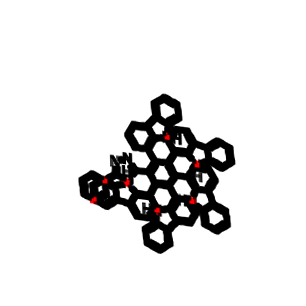 c1ccc(-c2nnc(-c3c(-c4cccc5c4[nH]c4ccccc45)c(-c4cccc5c4[nH]c4ccccc45)c(-c4cccc5c4[nH]c4ccccc45)c(-c4cccc5c4[nH]c4ccccc45)c3-c3cccc4c3[nH]c3ccccc34)o2)cc1